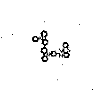 c1ccc(-n2c3ccccc3c3ccc(-c4ccc5c6ccccc6n(-c6ccc(-c7nc8c9c(cccc9n7)Sc7ccccc7-8)cc6)c5c4)cc32)cc1